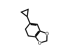 C1=C(C2CC2)CCC2=C1OCO2